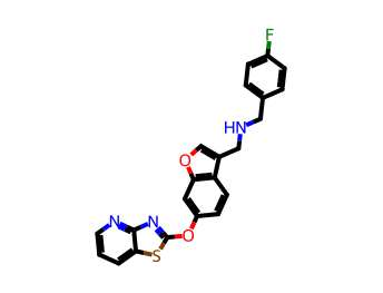 Fc1ccc(CNCc2coc3cc(Oc4nc5ncccc5s4)ccc23)cc1